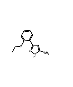 CCOc1ccccc1-c1cc(N)[nH]n1